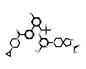 Nc1nc(O[C@H](c2ccc(Cl)cc2-c2cccc(C(=O)N3CCN(C4CC4)CC3)c2)C(F)(F)F)cc(N2CCC3(CC2)CN[C@H](C(=O)O)C3)n1